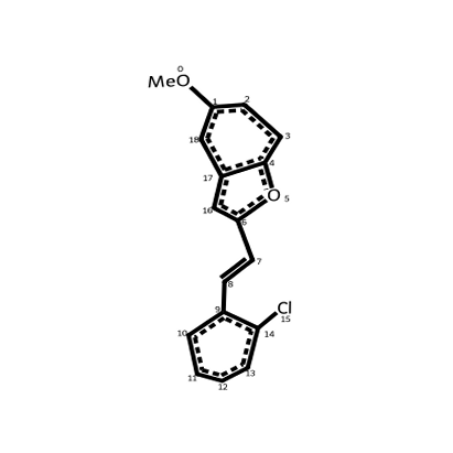 COc1ccc2oc(C=Cc3ccccc3Cl)cc2c1